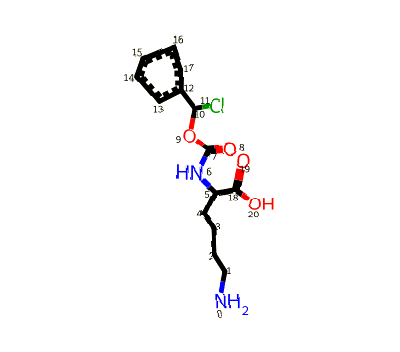 NCCCCC(NC(=O)OC(Cl)c1ccccc1)C(=O)O